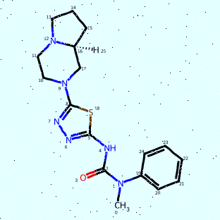 CN(C(=O)Nc1nnc(N2CCN3CCC[C@H]3C2)s1)c1ccccc1